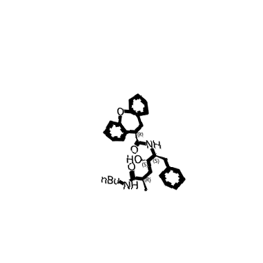 CCCCNC(=O)[C@H](C)C[C@H](O)[C@H](Cc1ccccc1)NC(=O)[C@@H]1Cc2ccccc2Oc2ccccc21